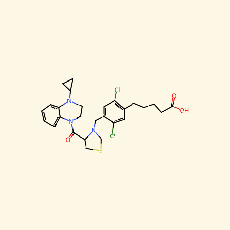 O=C(O)CCCCc1cc(Cl)c(CN2CSCC2C(=O)N2CCN(C3CC3)c3ccccc32)cc1Cl